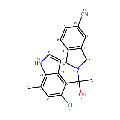 Cc1cc(Cl)c(C(C)(O)N2Cc3ccc(C#N)cc3C2)c2cc[nH]c12